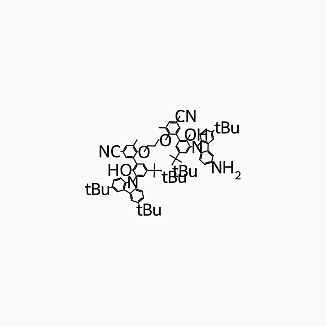 Cc1cc(C#N)cc(-c2cc(C(C)(C)CC(C)(C)C)cc(-n3c4ccc(N)cc4c4cc(C(C)(C)C)ccc43)c2O)c1OCCCOc1c(C)cc(C#N)cc1-c1cc(C(C)(C)CC(C)(C)C)cc(-n2c3ccc(C(C)(C)C)cc3c3cc(C(C)(C)C)ccc32)c1O